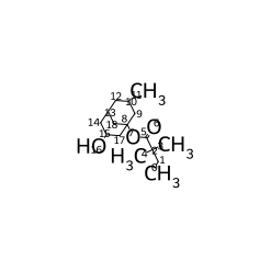 CCC(C)(C)C(=O)OC12CC(C)CC(CC(O)C1)C2